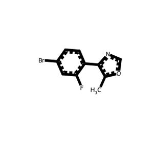 Cc1ocnc1-c1ccc(Br)cc1F